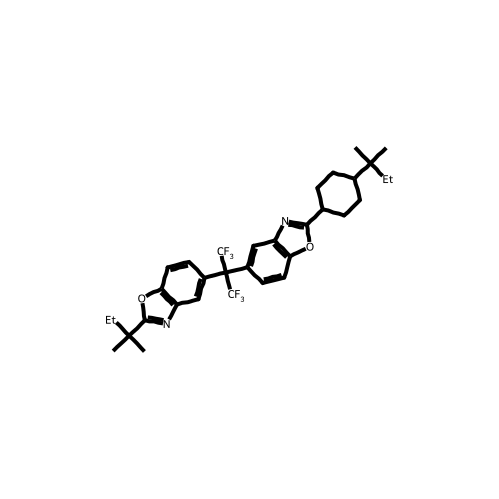 CCC(C)(C)c1nc2cc(C(c3ccc4oc(C5CCC(C(C)(C)CC)CC5)nc4c3)(C(F)(F)F)C(F)(F)F)ccc2o1